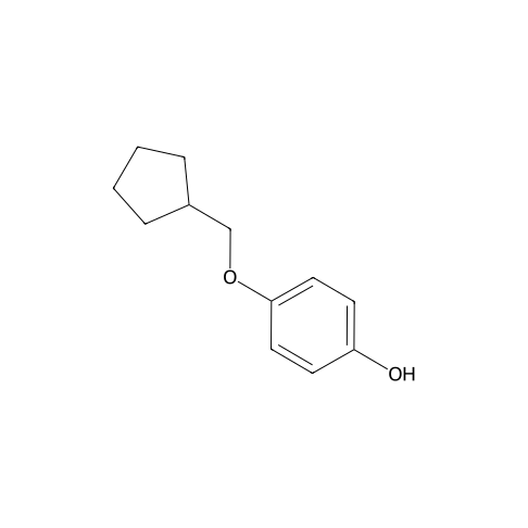 Oc1ccc(OCC2CCCC2)cc1